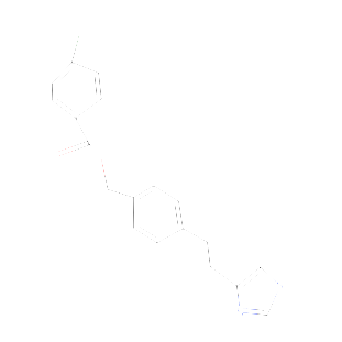 O=C(OCc1ccc(CCc2c[nH]cn2)cc1)c1ccc(Cl)cc1